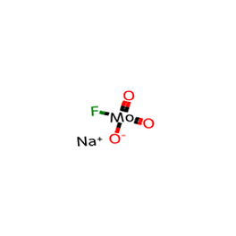 [Na+].[O]=[Mo](=[O])([O-])[F]